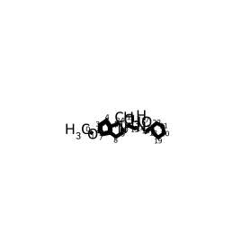 COc1ccc2c(c1)CCN(C(=O)CNCC1(O)CCCCC1)[C@@H]2C